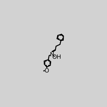 COc1ccc(CN(O)/C=C/CCc2ccccc2)cc1